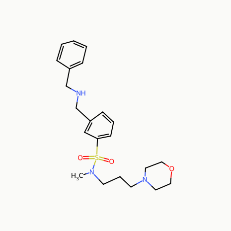 CN(CCCN1CCOCC1)S(=O)(=O)c1cccc(CNCc2ccccc2)c1